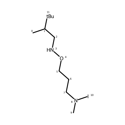 CC(CNOCCCN(C)I)C(C)(C)C